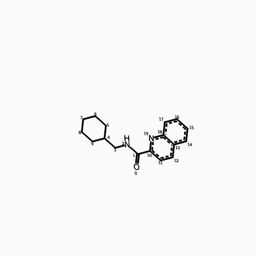 O=C(NCC1CCCCC1)c1ccc2ccccc2n1